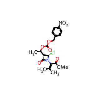 COC(=O)C(=C(C)C)N1C(=O)[C@H]([C@@H](C)OC(=O)OCc2ccc([N+](=O)[O-])cc2)[C@@H]1Cl